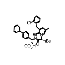 CCCC[C@@H](C(=O)N[C@@H](CC(=O)O)c1ccc(-c2ccccc2)cc1)n1cc(C)cc(Cc2ccccc2Cl)c1=O